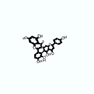 O=c1cc(-c2ccc(O)c(O)c2-c2c(O)cc3oc(-c4ccc(O)cc4)cc(=O)c3c2O)oc2cc(O)cc(O)c12